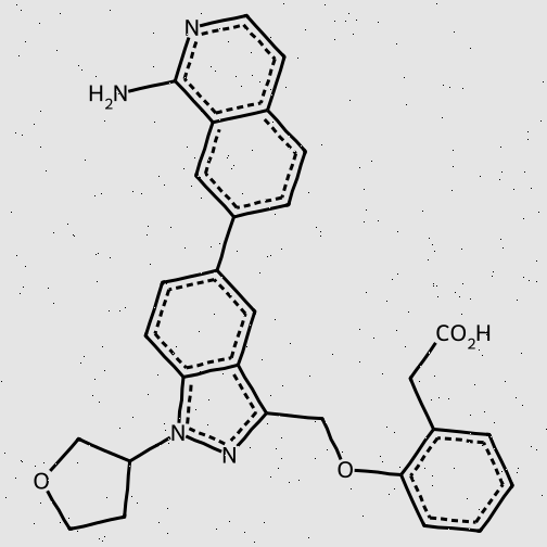 Nc1nccc2ccc(-c3ccc4c(c3)c(COc3ccccc3CC(=O)O)nn4C3CCOC3)cc12